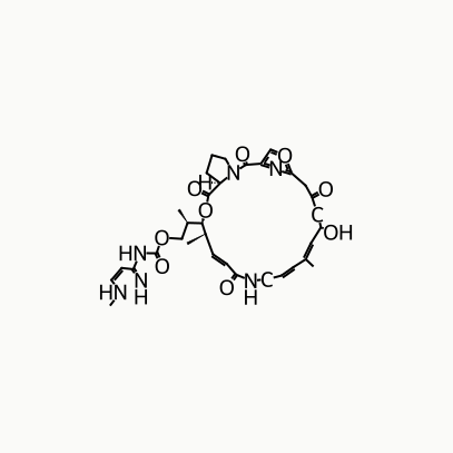 CN/C=C\C(=N)NC(=O)OC[C@@H](C)[C@H]1OC(=O)[C@H]2CCCN2C(=O)c2coc(n2)CC(=O)C[C@H](O)/C=C(C)/C=C/CNC(=O)/C=C/[C@H]1C